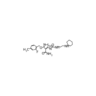 Cc1ccc(COc2nsc(NC(=O)NCCCNC3CCCCC3)c2C(N)=O)c(F)c1